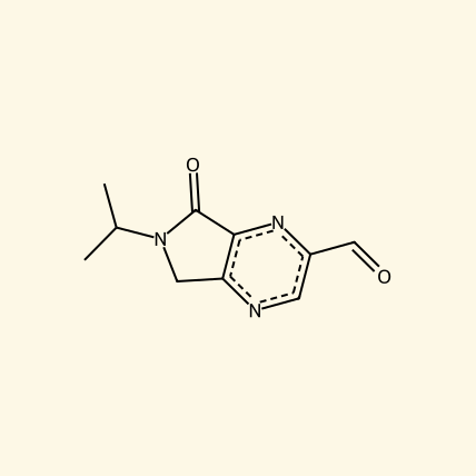 CC(C)N1Cc2ncc(C=O)nc2C1=O